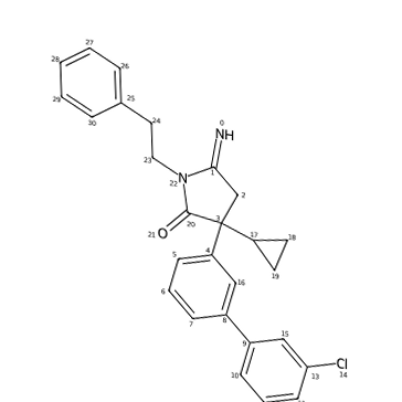 N=C1CC(c2cccc(-c3cccc(Cl)c3)c2)(C2CC2)C(=O)N1CCc1ccccc1